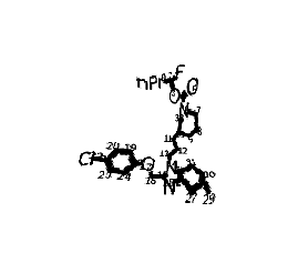 CCCC(F)OC(=O)N1CCCC(CCCn2c(COc3ccc(Cl)cc3)nc3cc(C)ccc32)C1